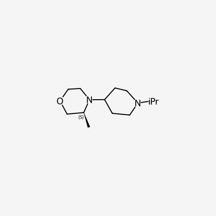 CC(C)N1CCC(N2CCOC[C@@H]2C)CC1